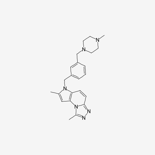 Cc1cc2c(ccc3nnc(C)n32)n1Cc1cccc(CN2CCN(C)CC2)c1